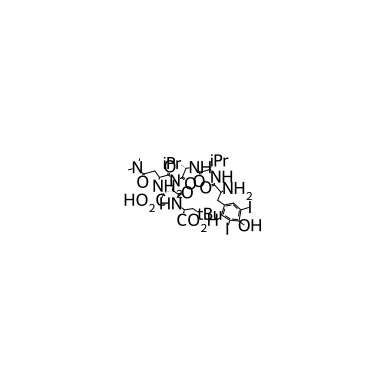 CC(C)[C@H](NC(=O)[C@@H](N)Cc1cc(I)c(O)c(I)c1)C(=O)N[C@H](C(=O)N(C(=O)[C@@H](N)CC(=O)N(C)C)[C@@H](CC(=O)O)C(=O)N[C@@H](CC(C)(C)C)C(=O)O)C(C)C